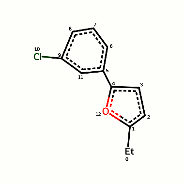 CCc1ccc(-c2cccc(Cl)c2)o1